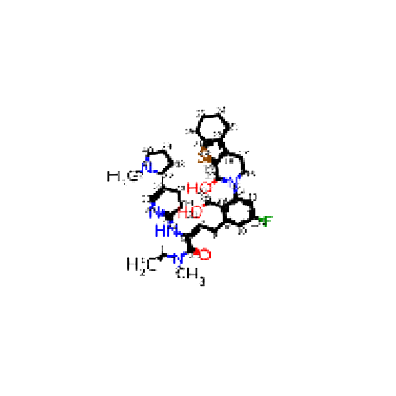 C=CN(C)C(=O)/C(=C\Cc1cc(F)cc(N2CCc3c(sc4c3CCCC4)C2O)c1CO)NC1=NC=C([C@@H]2CCCN2C)CC1